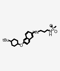 CC(C)(C)C1CCC(Oc2ccc3cc(CNCCCNS(C)(=O)=O)ccc3c2)CC1